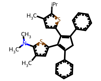 Cc1cc(C2=C(c3ccccc3)CC(c3ccccc3)=C2c2cc(C)c(N(C)C)s2)sc1C(C)C